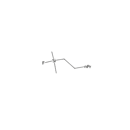 CCCCC[Si](C)(C)F